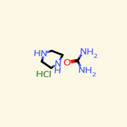 C1CNCCN1.Cl.NC(N)=O